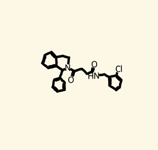 O=C(CCC(=O)N1CCc2ccccc2C1c1ccccc1)NCc1ccccc1Cl